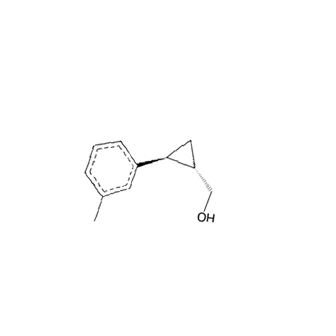 Cc1cccc([C@H]2C[C@@H]2CO)c1